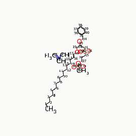 CCCCCCCCCCCCCCCCCCOCC(CS(=O)(=O)CCCOS(C)(=O)=O)OCc1ccccc1.CN(C)C